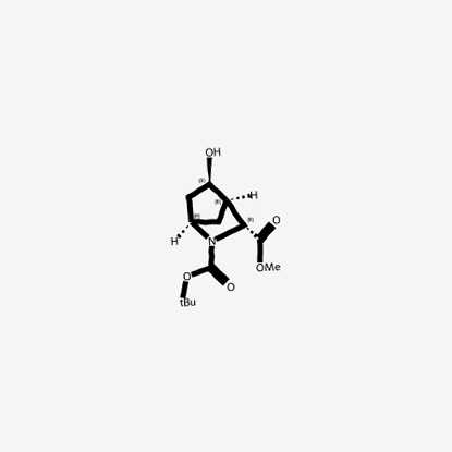 COC(=O)[C@H]1[C@H]2C[C@H](C[C@H]2O)N1C(=O)OC(C)(C)C